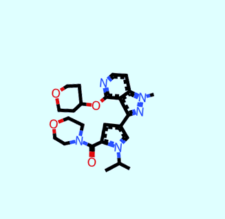 CC(C)n1cc(-c2nn(C)c3ccnc(OC4CCOCC4)c23)cc1C(=O)N1CCOCC1